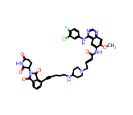 COc1cc2ncnc(Nc3ccc(F)c(Cl)c3)c2cc1NC(=O)/C=C/CN1CCC(NCCCC#Cc2cccc3c2C(=O)N(C2CCC(=O)NC2=O)C3=O)CC1